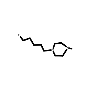 CN1CCN(CCCCC[O])CC1